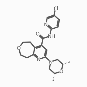 C[C@@H]1CN(c2cc(C(=O)Nc3ccc(Cl)cn3)c3c(n2)CCOCC3)C[C@H](C)O1